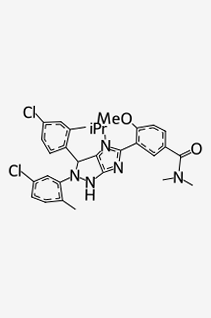 COc1ccc(C(=O)N(C)C)cc1-c1nc2c(n1C(C)C)C(c1ccc(Cl)cc1C)N(c1cc(Cl)ccc1C)N2